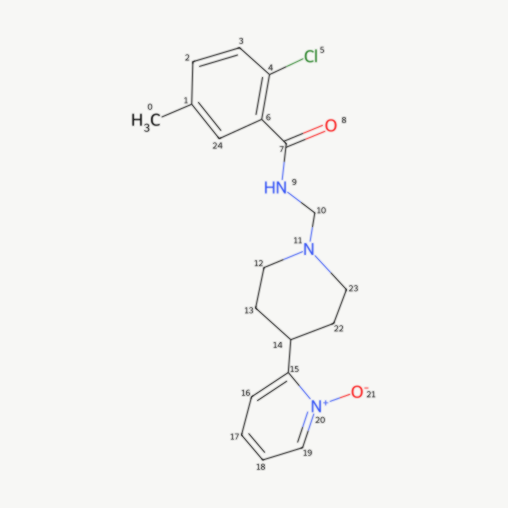 Cc1ccc(Cl)c(C(=O)NCN2CCC(c3cccc[n+]3[O-])CC2)c1